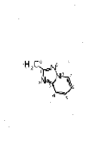 [CH2]c1nc2ccccn2n1